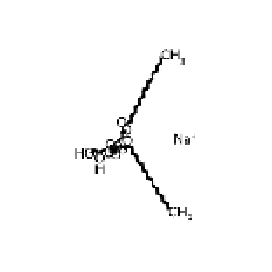 CCCCCCCC/C=C/CCCCCCCC(=O)OC[C@H](COP(=O)([O-])OCC(O)CO)OC(=O)CCCCCCC/C=C/CCCCCCCC.[Na+]